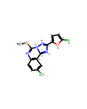 N#CSc1nc2ccc(Cl)cc2c2nc(-c3ccc(Br)o3)nn12